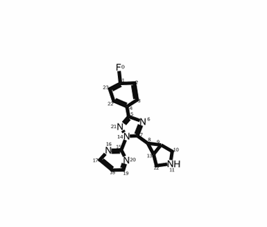 Fc1ccc(-c2nc(C3C4CNCC43)n(-c3ncccn3)n2)cc1